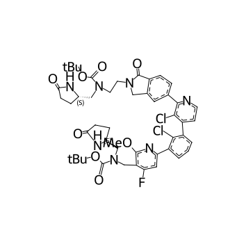 COc1nc(-c2cccc(-c3ccnc(-c4ccc5c(c4)CN(CCN(C[C@@H]4CCC(=O)N4)C(=O)OC(C)(C)C)C5=O)c3Cl)c2Cl)cc(F)c1CN(C[C@@H]1CCC(=O)N1)C(=O)OC(C)(C)C